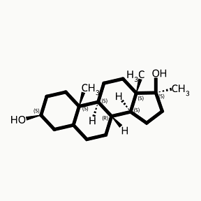 C[C@]12CC[C@H](O)CC1CC[C@@H]1[C@@H]2CC[C@@]2(C)[C@H]1CC[C@]2(C)O